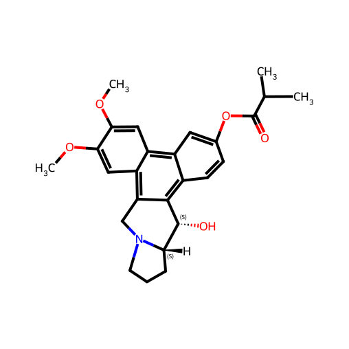 COc1cc2c3c(c4ccc(OC(=O)C(C)C)cc4c2cc1OC)[C@H](O)[C@@H]1CCCN1C3